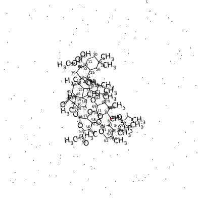 CC[Si](CC)(CC)OCC1O[C@@H](OC2[C@H](O[C@H]3CCC4(C)C5CC=C6C7CC(C)(C)CC[C@]7(C(=O)O)[C@@H](OC)CC6(C)C5(C)CC[C@H]4C3(C)C=O)OC(C(C)=O)[C@@H](C)[C@@H]2O[C@@H]2OC[C@@H](C)[C@@H](C)C2C)C(O[Si](CC)(CC)CC)[C@@H](C)[C@H]1C